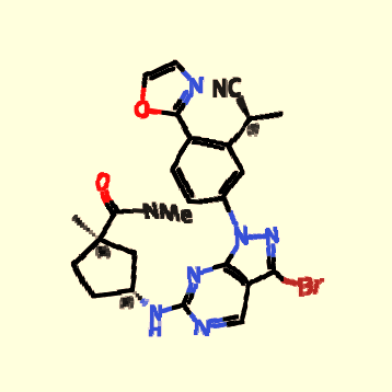 CNC(=O)[C@]1(C)CC[C@@H](Nc2ncc3c(Br)nn(-c4ccc(-c5ncco5)c([C@H](C)C#N)c4)c3n2)C1